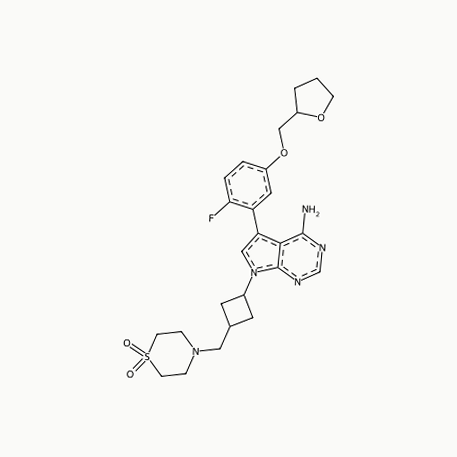 Nc1ncnc2c1c(-c1cc(OCC3CCCO3)ccc1F)cn2C1CC(CN2CCS(=O)(=O)CC2)C1